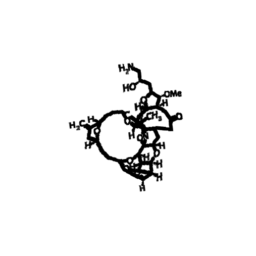 C=C1C[C@@H]2CCC34C[C@H]5O[C@H]6[C@@H](O[C@H]7CC[C@@H]8CC(=O)C[C@H]9[C@H](C[C@H]%10OC(CC[C@@H]1O2)C[C@@H](C)C%10=N[C@@]7(O8)[C@@H]6O3)OC(C[C@H](O)CN)[C@@H]9OC)[C@H]5O4